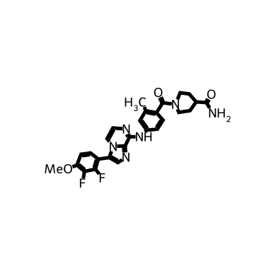 COc1ccc(-c2cnc3c(Nc4ccc(C(=O)N5CCC(C(N)=O)CC5)c(C)c4)nccn23)c(F)c1F